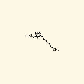 CCCCCCCCc1nnc(SSS)s1